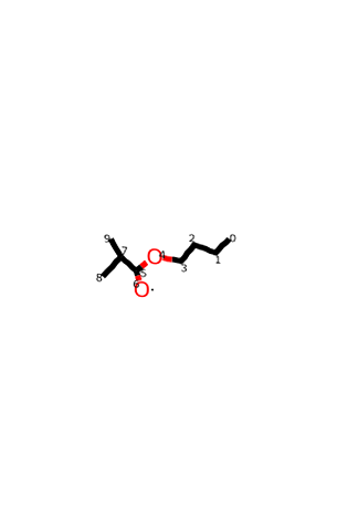 CCCCOC([O])C(C)C